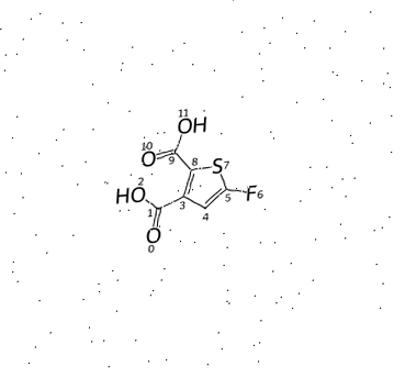 O=C(O)c1cc(F)sc1C(=O)O